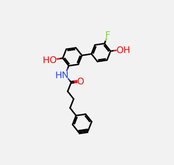 O=C(CCCc1cc#ccc1)Nc1cc(-c2ccc(O)c(F)c2)ccc1O